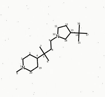 CN1CCC(C(C)(C)CCN2CCC(C(C)(C)C)C2)CC1